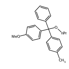 CCCOC(c1ccccc1)(c1ccc(C)cc1)c1ccc(OC)cc1